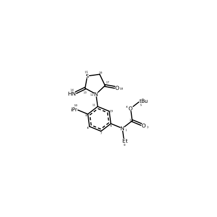 CCN(C(=O)OC(C)(C)C)c1ccc(C(C)C)c(N2C(=N)SCC2=O)c1